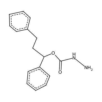 NNC(=O)OC(CCc1ccccc1)c1ccccc1